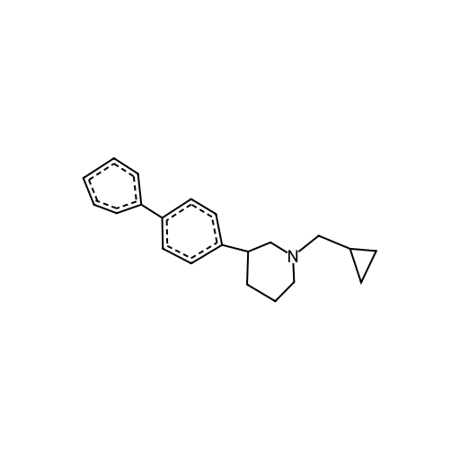 c1ccc(-c2ccc(C3CCCN(CC4CC4)C3)cc2)cc1